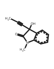 CC#CC1(O)C(=O)N(C)c2ccccc21